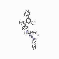 N/C(=N\C=C(\F)CN1CCOCC1)N/N=C/c1ccc(Nc2cc(Cl)cc(-c3ccncn3)c2)cn1